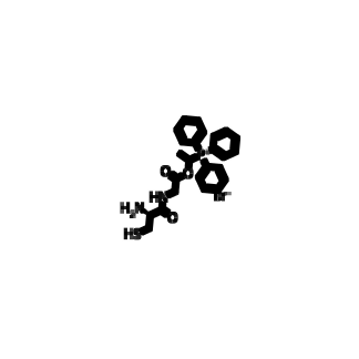 CC(OC(=O)CNC(=O)[C@@H](N)CS)[P+](c1ccccc1)(c1ccccc1)c1ccccc1.[Br-]